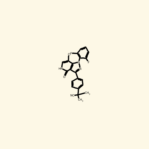 CC(C)(C#N)c1ccc(-c2nn(-c3c(F)cccc3F)c3c(Cl)c[nH]c(=O)c23)cc1